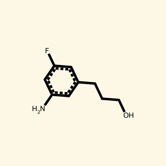 Nc1cc(F)cc(CCCO)c1